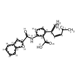 C=C(C)/C=C\C(=C/N)c1csc(NC(=O)c2cc3ccccc3o2)c1C(=O)O